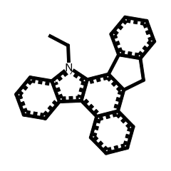 CCn1c2ccccc2c2c3ccccc3c3c(c21)-c1ccccc1C3